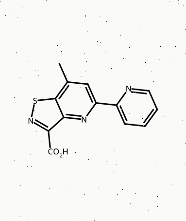 Cc1cc(-c2ccccn2)nc2c(C(=O)O)nsc12